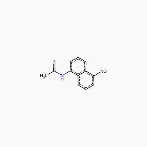 CC(=S)Nc1cccc2c(N=O)cccc12